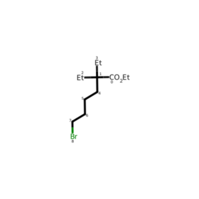 CCOC(=O)C(CC)(CC)CCCCBr